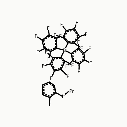 Cc1ccccc1[I+]C(C)C.Fc1c(F)c(F)c([B-](c2c(F)c(F)c(F)c(F)c2F)(c2c(F)c(F)c(F)c(F)c2F)c2c(F)c(F)c(F)c(F)c2F)c(F)c1F